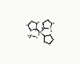 CO[Si](C1CCCC1)(C1CCCC1)C1CCCO1